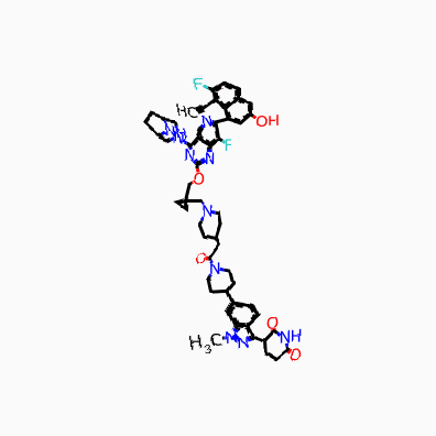 C#Cc1c(F)ccc2cc(O)cc(-c3ncc4c(N5CC6CCC(C5)N6)nc(OCC5(CN6CCC(CC(=O)N7CCC(c8ccc9c(C%10CCC(=O)NC%10=O)nn(C)c9c8)CC7)CC6)CC5)nc4c3F)c12